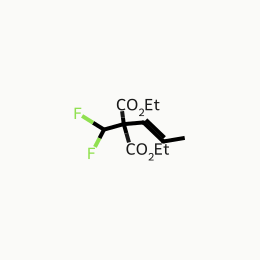 C/C=C/C(C(=O)OCC)(C(=O)OCC)C(F)F